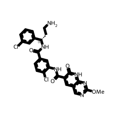 COc1ncc2cc(C(=O)Nc3cc(C(=O)N[C@@H](CCN)c4cccc(Cl)c4)ccc3Cl)c(=O)[nH]c2n1